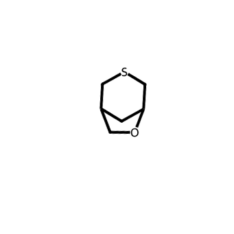 C1OC2CSCC1C2